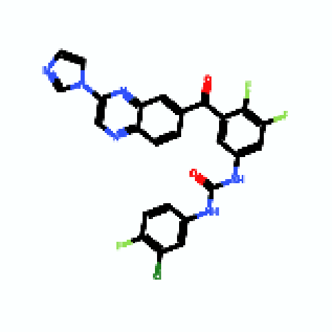 O=C(Nc1ccc(F)c(Cl)c1)Nc1cc(F)c(F)c(C(=O)c2ccc3ncc(-n4ccnc4)nc3c2)c1